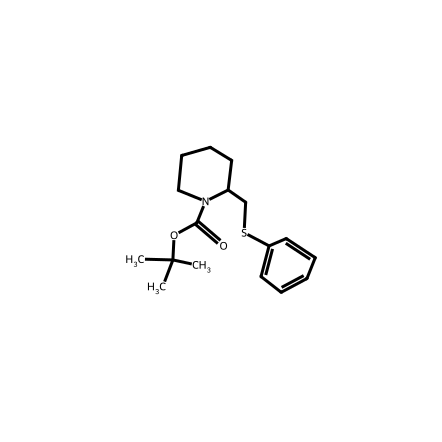 CC(C)(C)OC(=O)N1CCCCC1CSc1ccccc1